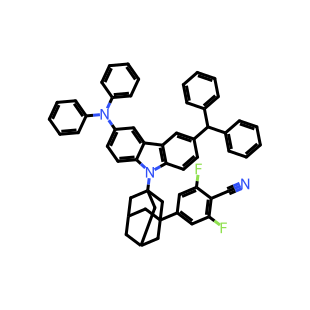 N#Cc1c(F)cc(C23CC4CC(C2)CC(n2c5ccc(C(c6ccccc6)c6ccccc6)cc5c5cc(N(c6ccccc6)c6ccccc6)ccc52)(C4)C3)cc1F